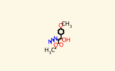 CCOC(=O)[C@H](N=[N+]=[N-])[C@H](O)c1ccc(OC)cc1